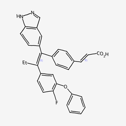 CC/C(=C(/c1ccc(/C=C/C(=O)O)cc1)c1ccc2[nH]ncc2c1)c1ccc(F)c(Oc2ccccc2)c1